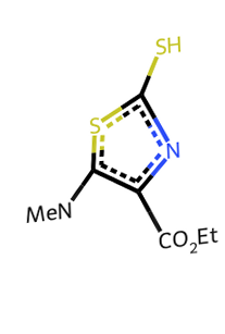 CCOC(=O)c1nc(S)sc1NC